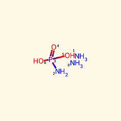 N.N.NP(=O)(O)O